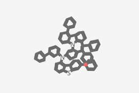 c1ccc(C2=C(c3ccccc3)c3cccc4c5c(-c6ccccc6)cccc5n(c34)-c3cc(N(c4cccc(-c5ccccc5)c4)c4cccc5sc6cc(-c7ccccc7)ccc6c45)ccc32)cc1